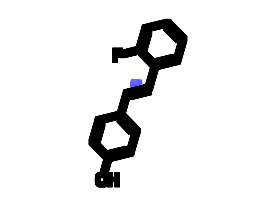 Oc1ccc(/C=C/c2ccccc2F)cc1